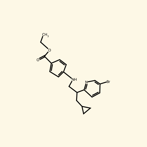 CCOC(=O)c1ccc(NCC(CC2CC2)c2ccc(Br)cn2)cc1